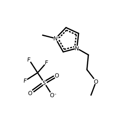 COCCn1cc[n+](C)c1.O=S(=O)([O-])C(F)(F)F